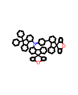 c1ccc(C2(c3ccccc3)c3ccccc3-c3c(N(c4ccc(-c5cccc6c5-c5ccccc5C65c6ccccc6Oc6ccccc65)cc4)c4cccc5c4-c4ccccc4C54c5ccccc5Oc5ccccc54)cccc32)cc1